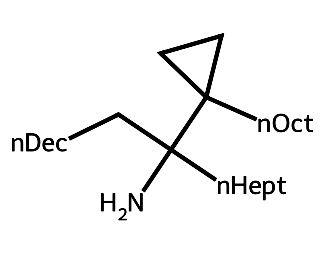 CCCCCCCCCCCC(N)(CCCCCCC)C1(CCCCCCCC)CC1